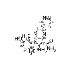 CC1=C(n2c(N)c(C(N)=O)c3nc(-c4ccnnc4)cnc32)[C@H](C)CC=C1O